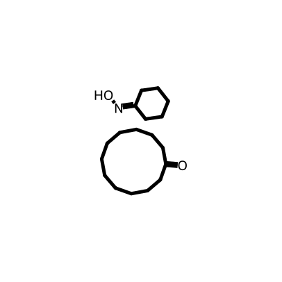 O=C1CCCCCCCCCCC1.ON=C1CCCCC1